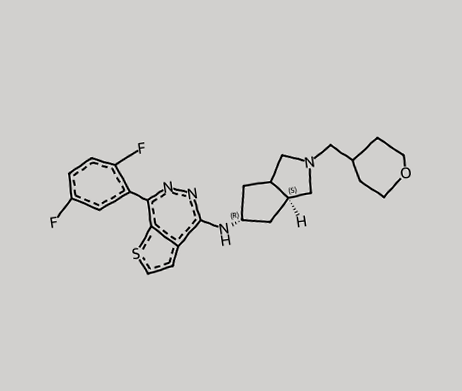 Fc1ccc(F)c(-c2nnc(N[C@@H]3CC4CN(CC5CCOCC5)C[C@H]4C3)c3ccsc23)c1